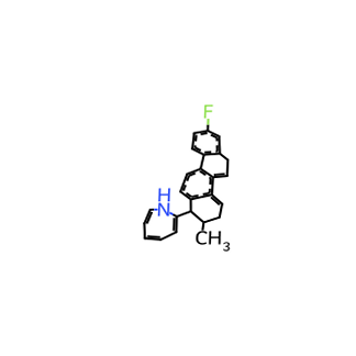 CC1CC=c2c(ccc3c2=CCc2cc(F)ccc2-3)C1C1=CC=CC=CN1